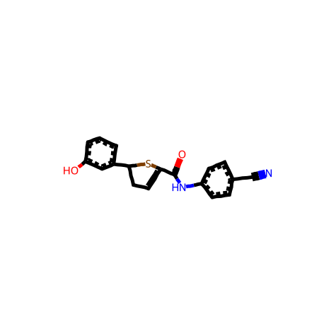 N#Cc1ccc(NC(=O)C2=CCC(c3cccc(O)c3)S2)cc1